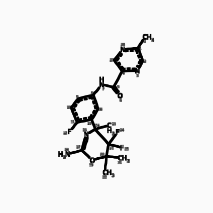 Cc1cnc(C(=O)Nc2ccc(F)c(C3(C)N=C(N)OC(C)(C)C3(F)F)c2)cn1